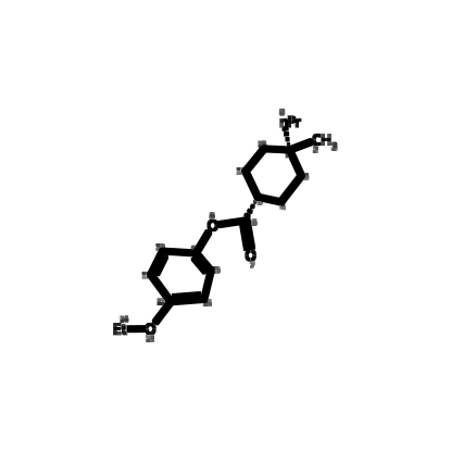 CCC[C@]1(C)CC[C@H](C(=O)Oc2ccc(OCC)cc2)CC1